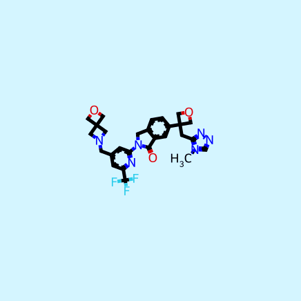 Cn1cnnc1CC1(c2ccc3c(c2)C(=O)N(c2cc(CN4CC5(COC5)C4)cc(C(F)(F)F)n2)C3)COC1